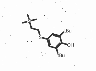 CC(C)(C)c1cc(SCC[Si](C)(C)C)cc(C(C)(C)C)c1O